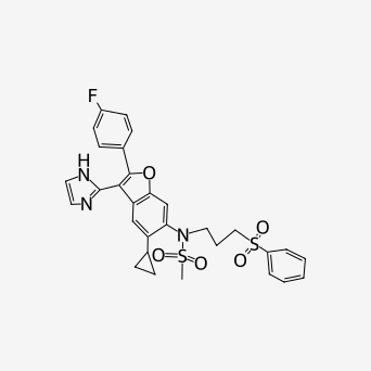 CS(=O)(=O)N(CCCS(=O)(=O)c1ccccc1)c1cc2oc(-c3ccc(F)cc3)c(-c3ncc[nH]3)c2cc1C1CC1